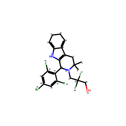 CC1(C)Cc2c([nH]c3c2=CCCC=3)C(c2c(F)cc(Br)cc2F)N1CC(F)(F)CO